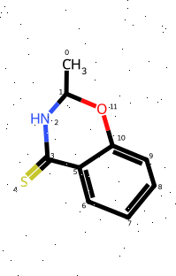 CC1NC(=S)c2ccccc2O1